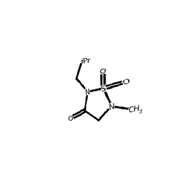 CC(C)CN1C(=O)CN(C)S1(=O)=O